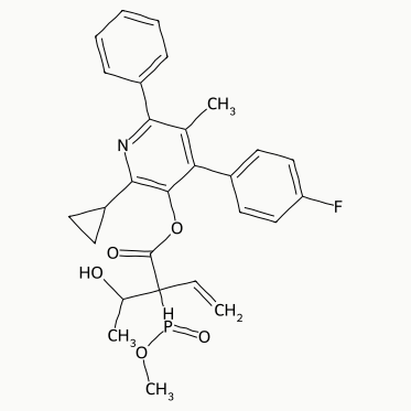 C=CC(C(=O)Oc1c(C2CC2)nc(-c2ccccc2)c(C)c1-c1ccc(F)cc1)(C(C)O)[PH](=O)OC